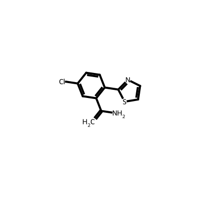 C=C(N)c1cc(Cl)ccc1-c1nccs1